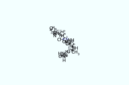 C=N/C(=C\C(=C(/C)Cl)c1cccc(NCC2(C#N)CCOCC2)n1)N[C@H]1CC[C@H](N[C@H](C)COCc2n[nH]c(=O)[nH]2)CC1